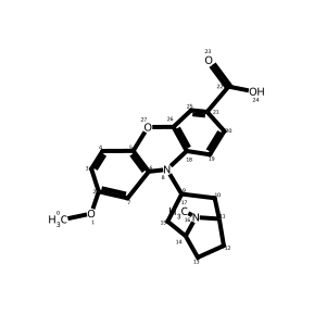 COc1ccc2c(c1)N(C1CC3CCC(C1)N3C)c1ccc(C(=O)O)cc1O2